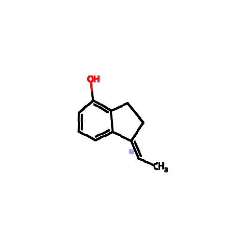 C/C=C1\CCc2c(O)cccc21